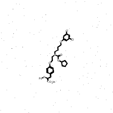 CCOC(Cc1ccc(OCCN(CCCCOc2cc(Cl)cc(Cl)c2)C(=O)OC2CCCC2)cc1)C(=O)O